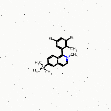 CCc1cc(CC)c(C)c(-c2c3ccc([Si](C)(C)C)cc3cc[n+]2C)c1